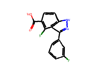 O=C(O)c1ccc2[nH]nc(-c3cccc(F)c3)c2c1F